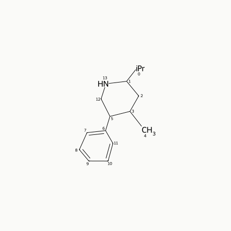 CC(C)C1CC(C)C(c2ccccc2)CN1